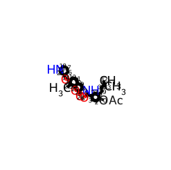 CC(=O)Oc1ccc(C(=O)Nc2cc3ccc(OC4CCCNC4)c(C)c3oc2=O)cc1CC=C(C)C